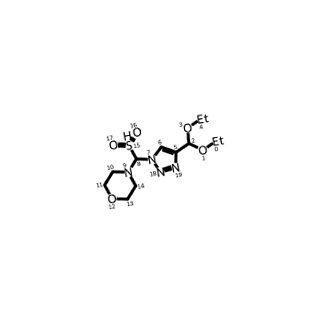 CCOC(OCC)c1cn(C(N2CCOCC2)[SH](=O)=O)nn1